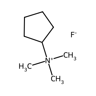 C[N+](C)(C)C1CCCC1.[F-]